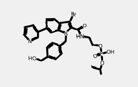 CC(C)OP(=O)(O)OCCNC(=O)c1c(Br)c2ccc(-c3cccnc3)cc2n1Cc1ccc(CO)cc1